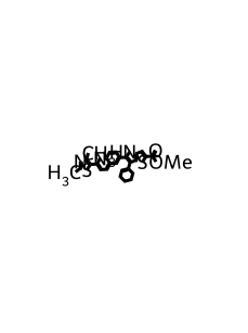 COC(=O)c1cc2[nH]c(-c3ccc4nc(-c5sc(C)nc5C)ccc4c3)c(C3=CCCCC3)c2s1